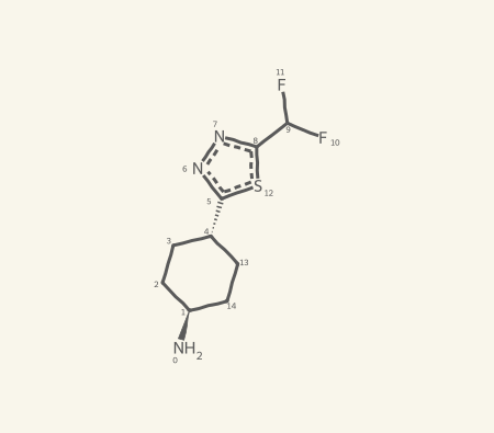 N[C@H]1CC[C@H](c2nnc(C(F)F)s2)CC1